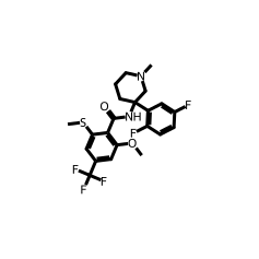 COc1cc(C(F)(F)F)cc(SC)c1C(=O)NC1(c2cc(F)ccc2F)CCCN(C)C1